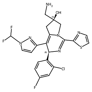 NC[C@@]1(O)CC2=C(c3ccn(C(F)F)n3)[C@H](c3ccc(F)cc3Cl)N=C(c3nccs3)N2C1